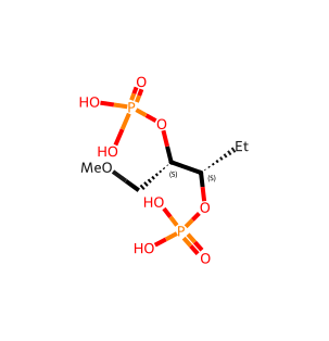 CC[C@H](OP(=O)(O)O)[C@H](COC)OP(=O)(O)O